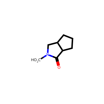 O=C(O)N1CC2CCCC2C1=O